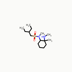 CCC(CC)CS(=O)(=O)N(C)C1CCCCC1(C)NC